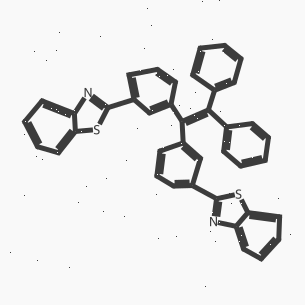 c1ccc(C(=C(c2cccc(-c3nc4ccccc4s3)c2)c2cccc(-c3nc4ccccc4s3)c2)c2ccccc2)cc1